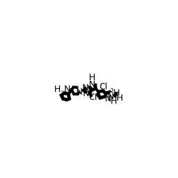 [2H]C([2H])([2H])n1cc2c(Cl)c(-c3c[nH]c4nc(N5CCC(N)(c6ccccc6)CC5)nc(C#N)c34)ccc2n1